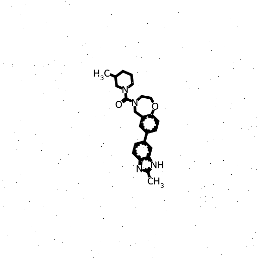 Cc1nc2ccc(-c3ccc4c(c3)CN(C(=O)N3CCCC(C)C3)CCO4)cc2[nH]1